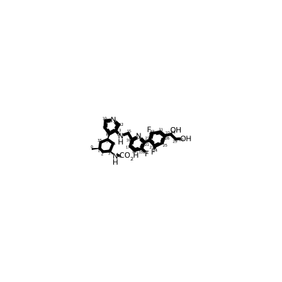 C[C@@H]1C[C@H](NC(=O)O)C[C@H](c2ccncc2NCc2ccc(F)c(-c3c(F)cc([C@H](O)CO)cc3F)n2)C1